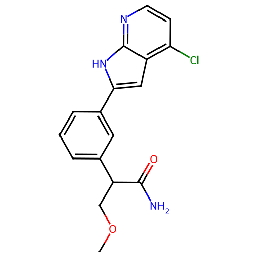 COCC(C(N)=O)c1cccc(-c2cc3c(Cl)ccnc3[nH]2)c1